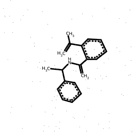 C=C(C)c1ccccc1C(=C)NC(C)c1ccccc1